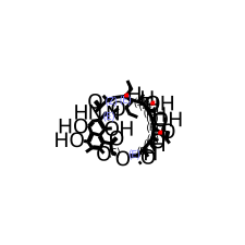 CCCCC(CC)O/N=C/c1c2c(O)c3c(O)c(C)c4c(c3c1O)C(=O)[C@@](C)(O/C=C/[C@H](OC)[C@@H](C)[C@@H](OC(C)=O)[C@H](C)[C@H](O)[C@H](C)[C@@H](O)[C@@H](C)/C=C/C=C(/C)C(=O)N2)O4